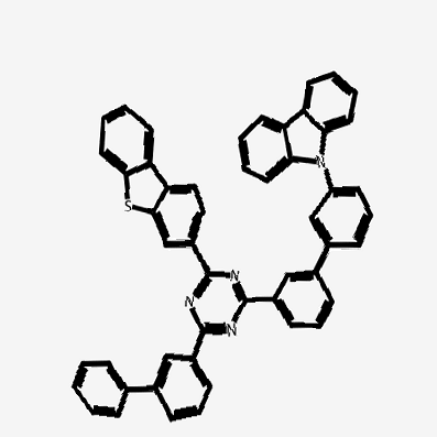 c1ccc(-c2cccc(-c3nc(-c4cccc(-c5cccc(-n6c7ccccc7c7ccccc76)c5)c4)nc(-c4ccc5c(c4)sc4ccccc45)n3)c2)cc1